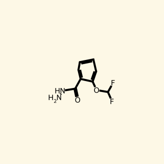 NNC(=O)c1ccccc1OC(F)F